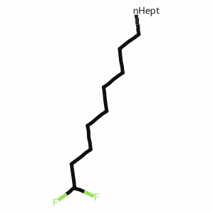 CCCCCCCCCCCCCCC[C](F)F